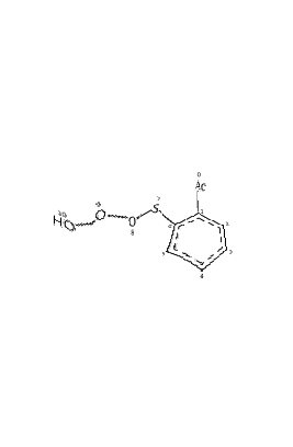 CC(=O)c1ccccc1SOOO